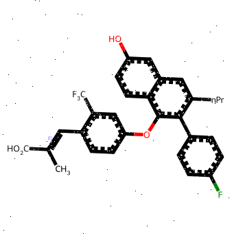 CCCc1cc2cc(O)ccc2c(Oc2ccc(/C=C(\C)C(=O)O)c(C(F)(F)F)c2)c1-c1ccc(F)cc1